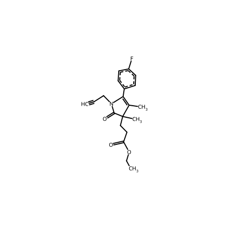 C#CCN1C(=O)C(C)(CCC(=O)OCC)C(C)=C1c1ccc(F)cc1